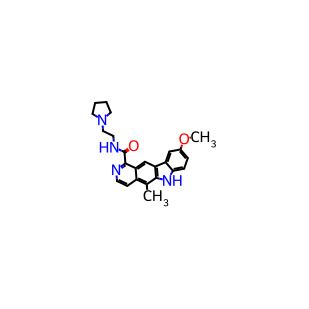 COc1ccc2[nH]c3c(C)c4ccnc(C(=O)NCCN5CCCC5)c4cc3c2c1